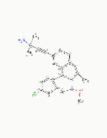 CC(=O)C(OC(C)(C)C)c1c(C)cc2ccc(C#CC(C)(C)N)cc2c1-c1ccc(Cl)cc1